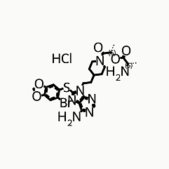 C[C@H](N)C(=O)O[C@@H](C)C(=O)N1CCC(CCn2c(Sc3cc4c(cc3Br)OCO4)nc3c(N)ncnc32)CC1.Cl